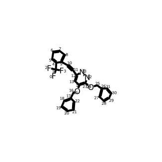 FC(F)(F)c1ccccc1C#Cc1cc(OCc2ccccc2)c(OCc2ccccc2)nn1